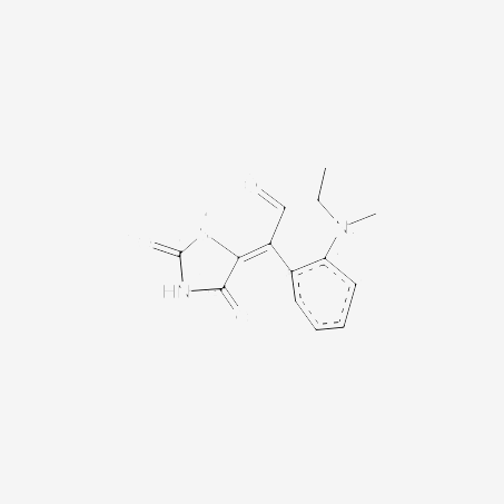 CCN(C)c1ccccc1/C(C=O)=C1/SC(=O)NC1=O